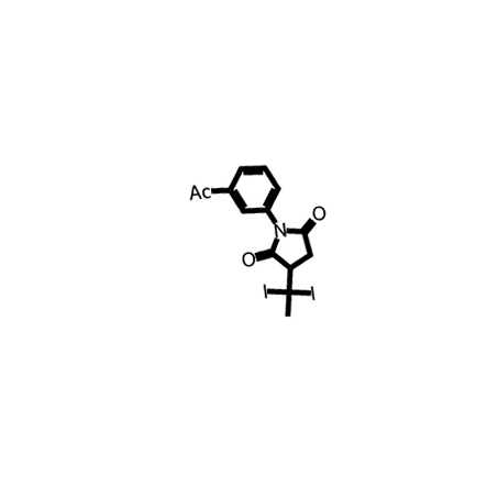 CC(=O)c1cccc(N2C(=O)CC(C(C)(I)I)C2=O)c1